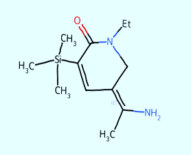 CCN1C/C(=C(/C)N)C=C([Si](C)(C)C)C1=O